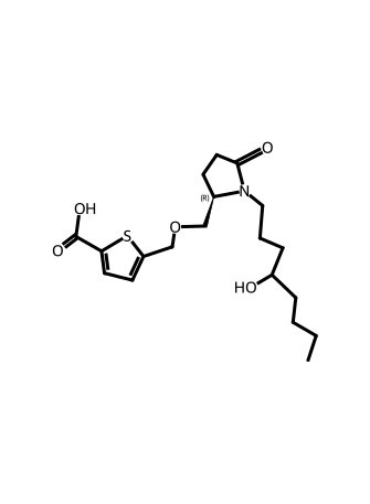 CCCCC(O)CCCN1C(=O)CC[C@@H]1COCc1ccc(C(=O)O)s1